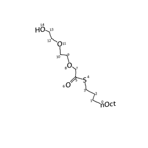 CCCCCCCCCCCSC(=O)COCCOCCO